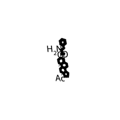 CC(=O)[C@H]1CCC2C3CCC4=C[C@@H](OC(=O)[C@@H](N)Cc5ccccc5)CC[C@]4(C)C3CC[C@@]21C